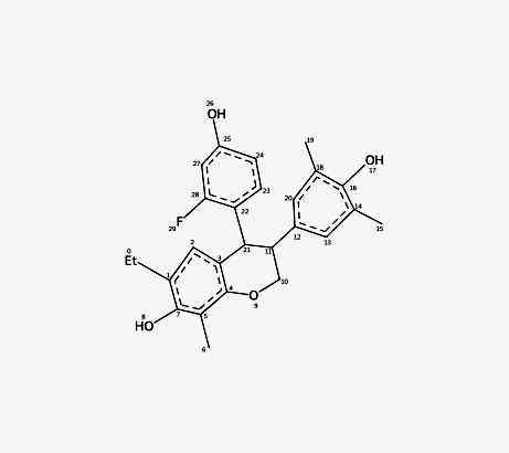 CCc1cc2c(c(C)c1O)OCC(c1cc(C)c(O)c(C)c1)C2c1ccc(O)cc1F